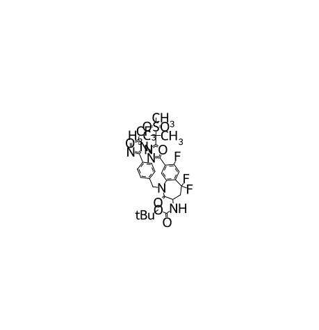 CC(C)(C)OC(=O)NC1CC(F)(F)c2cc(F)c(-c3nnc(C(C)(C)S(C)(=O)=O)o3)cc2N(Cc2ccc(-c3noc(C(F)(F)F)n3)cc2)C1=O